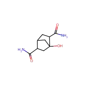 NC(=O)C1CC2(O)CC1CC2C(N)=O